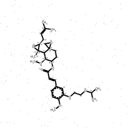 COc1ccc(/C=C/C(=O)O[C@@H]2CC[C@]3(CO3)C([C@]3(C)O[C@H]3CC=C(C)C)[C@@H]2OC)cc1OCCOC(C)C